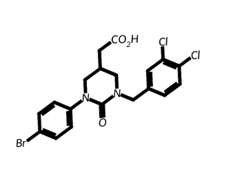 O=C(O)CC1CN(Cc2ccc(Cl)c(Cl)c2)C(=O)N(c2ccc(Br)cc2)C1